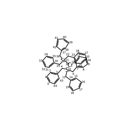 c1ccc(C[Si](Cc2ccccc2)(Cc2ccccc2)[Cr][Si](Cc2ccccc2)(Cc2ccccc2)Cc2ccccc2)cc1